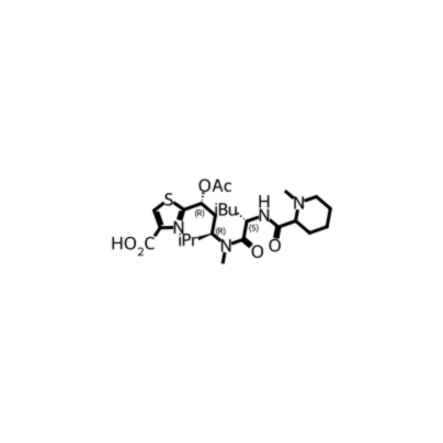 CCC(C)[C@H](NC(=O)C1CCCCN1C)C(=O)N(C)[C@H](C[C@@H](OC(C)=O)c1nc(C(=O)O)cs1)C(C)C